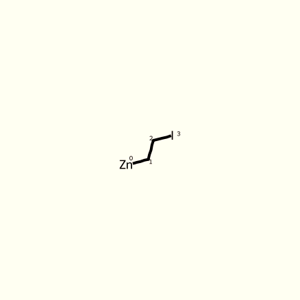 [Zn][CH2]CI